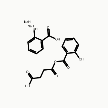 O=C(O)CCC(=O)OC(=O)c1ccccc1O.O=C(O)c1ccccc1O.[NaH].[NaH]